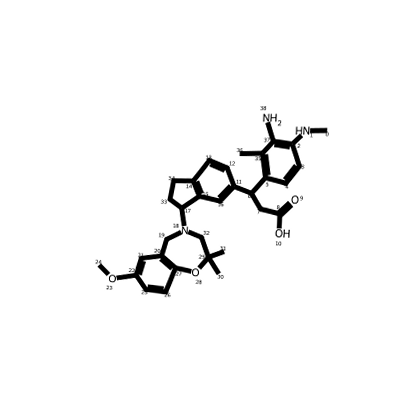 CNc1ccc(C(CC(=O)O)c2ccc3c(c2)C(N2Cc4cc(OC)ccc4OC(C)(C)C2)CC3)c(C)c1N